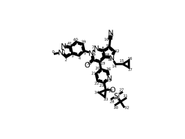 Cn1cc2cc(-n3nc4c(C#N)cn(CC5CC5)c4c(-c4ccc(C5(O[Si](C)(C)C(C)(C)C)CC5)nc4)c3=O)ccc2n1